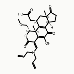 C=CCN(C=C1C(=O)O[C@H](COC)[C@@]2(C)C1=C(O)C(=O)C1=C2[C@@H](CC(=O)O)C[C@]2(C)C(=O)CC[C@@H]12)CC=C